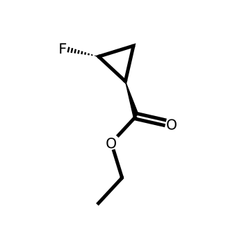 CCOC(=O)[C@@H]1C[C@H]1F